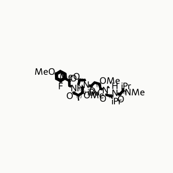 CC[C@H](C)C([C@@H](CC(=O)N1C[C@H](OC)C[C@H]1[C@H](OC)[C@@H](C)C(=O)NCC(=O)c1ccc(OC)cc1F)OC)N(C)C(=O)[C@@H](NC(=O)[C@@H](NC)C(C)C)C(C)C